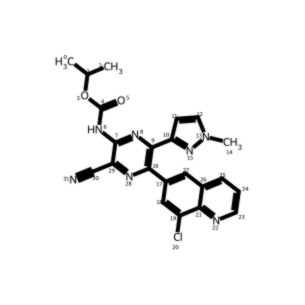 CC(C)OC(=O)Nc1nc(-c2ccn(C)n2)c(-c2cc(Cl)c3ncccc3c2)nc1C#N